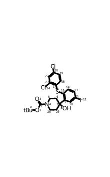 CC(C)(C)OC(=O)N1CCC(O)(c2cc(F)ccc2Sc2ccc(Cl)cc2Cl)CC1